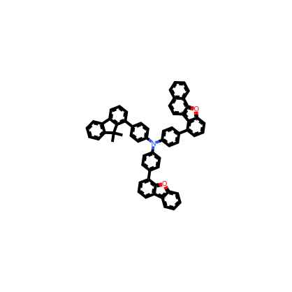 CC1(C)c2ccccc2-c2cccc(-c3ccc(N(c4ccc(-c5cccc6c5oc5ccccc56)cc4)c4ccc(-c5cccc6oc7c8ccccc8ccc7c56)cc4)cc3)c21